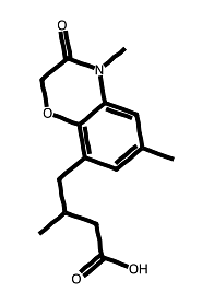 Cc1cc(CC(C)CC(=O)O)c2c(c1)N(C)C(=O)CO2